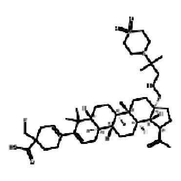 C=C(C)[C@@H]1CC[C@]2(CNCC(C)(C)N3CCS(=O)(=O)CC3)CC[C@]3(C)[C@H](CC[C@@H]4[C@@]5(C)CC=C(C6=CCC(CF)(C(=O)O)CC6)C(C)(C)[C@@H]5CC[C@]43C)[C@@H]12